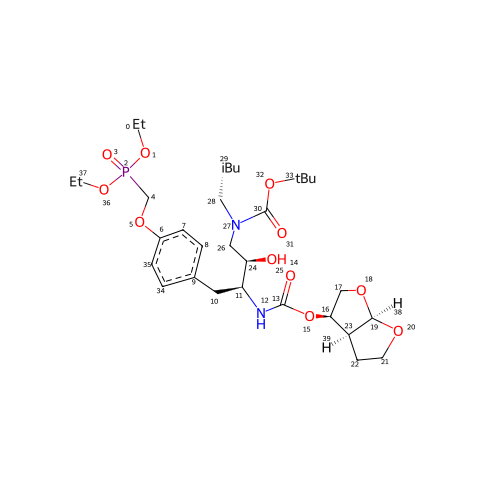 CCOP(=O)(COc1ccc(C[C@H](NC(=O)O[C@H]2CO[C@H]3OCC[C@H]32)[C@H](O)CN(C[C@@H](C)CC)C(=O)OC(C)(C)C)cc1)OCC